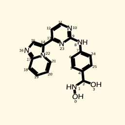 ONC(O)c1ccc(Nc2nccc(-c3cnc4ccccn34)n2)cc1